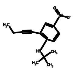 CCC#Cc1cc([N+](=O)[O-])ccc1NC(C)(C)C